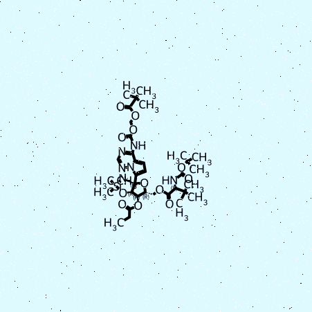 CCC(=O)O[C@H]1[C@@H](O[Si](C)(C)C)[C@](C#N)(c2ccc3c(NC(=O)OCOC(=O)C(C)(C)C)ncnn23)O[C@@H]1COC(=O)[C@@H](NC(=O)OC(C)(C)C)C(C)(C)C